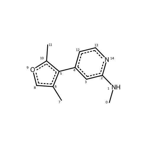 CNc1cc(-c2c(C)coc2C)ccn1